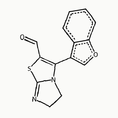 O=CC1=C(c2coc3ccccc23)N2CCN=C2S1